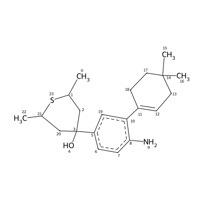 CC1CC(O)(c2ccc(N)c(C3=CCC(C)(C)CC3)c2)CC(C)S1